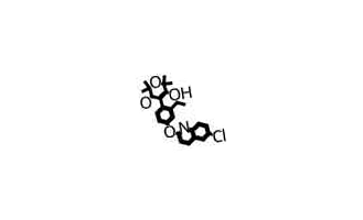 CCc1cc(Oc2ccc3cc(Cl)ccc3n2)ccc1C1=C(O)C(C)(C)OC(C)(C)C1=O